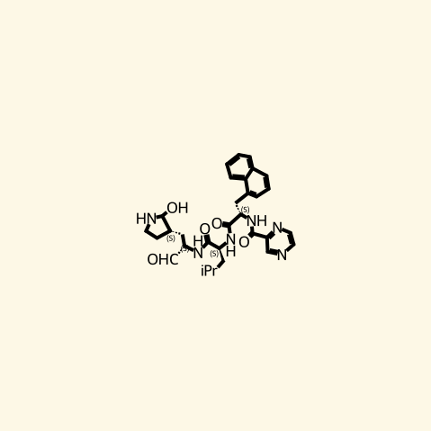 CC(C)C[C@H](NC(=O)[C@H](Cc1cccc2ccccc12)NC(=O)c1cnccn1)C(=O)N[C@H](C=O)C[C@@H]1CCNC1O